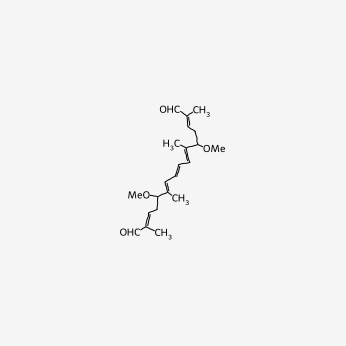 COC(C/C=C(\C)C=O)/C(C)=C/C=C/C=C(\C)C(C/C=C(\C)C=O)OC